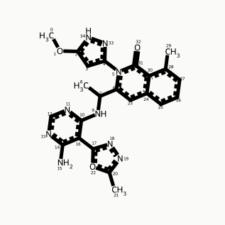 COc1cc(-n2c(C(C)Nc3ncnc(N)c3-c3nnc(C)o3)cc3cccc(C)c3c2=O)n[nH]1